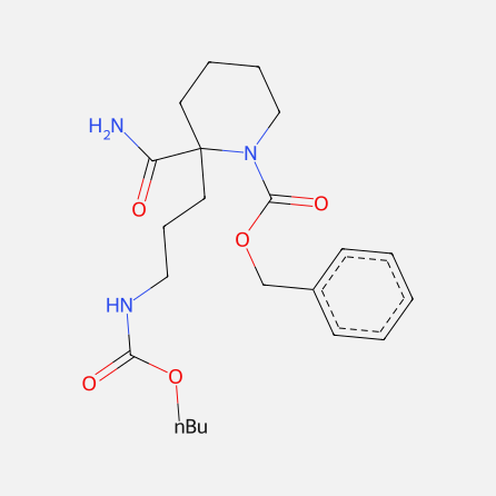 CCCCOC(=O)NCCCC1(C(N)=O)CCCCN1C(=O)OCc1ccccc1